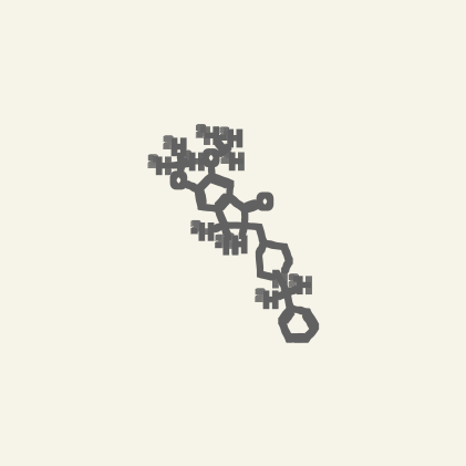 [2H]C([2H])([2H])Oc1cc2c(cc1OC([2H])([2H])[2H])C([2H])([2H])C([2H])(CC1CCN(C([2H])([2H])c3ccccc3)CC1)C2=O